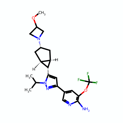 COC1CN([C@@H]2C[C@@H]3[C@H](C2)[C@H]3c2cc(-c3cnc(N)c(OC(F)(F)F)c3)nn2C(C)C)C1